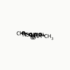 CCCN1CCN(c2ccc(-n3ccc(OCc4ccc(Cl)cn4)cc3=O)c(=O)[nH]2)CC1